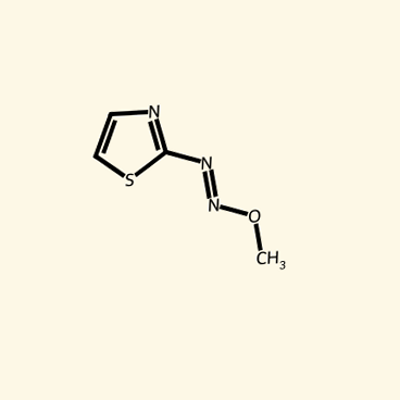 CON=Nc1nccs1